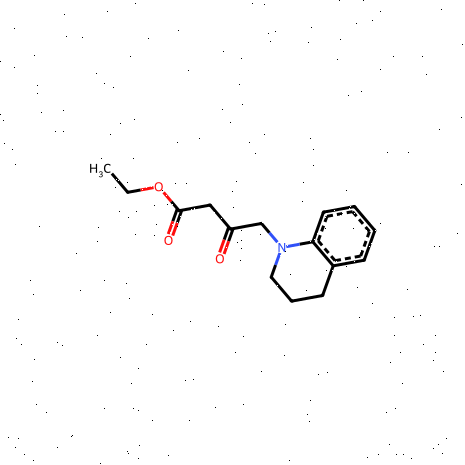 CCOC(=O)CC(=O)CN1CCCc2ccccc21